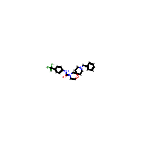 O=C(Nc1ccc(C(F)(F)F)cc1)N1CCOC2(CCN(Cc3ccccc3)CC2)C1